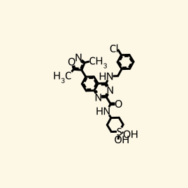 Cc1noc(C)c1-c1ccc2nc(C(=O)NC3CCS(O)(O)CC3)nc(NCc3cccc(Cl)c3)c2c1